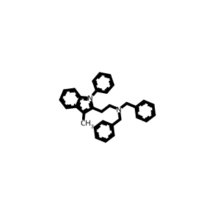 Cc1c(CCN(Cc2ccccc2)Cc2ccccc2)n(-c2ccccc2)c2ccccc12